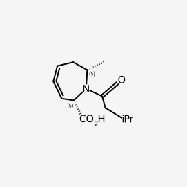 CC(C)CC(=O)N1[C@@H](C)CC=C=C[C@H]1C(=O)O